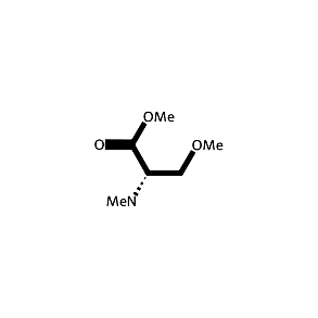 CN[C@@H](COC)C(=O)OC